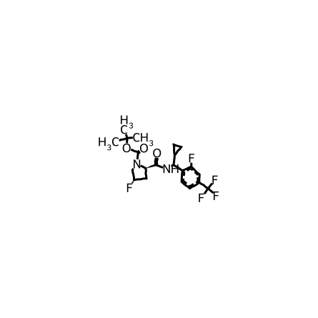 CC(C)(C)OC(=O)N1C[C@@H](F)C[C@@H]1C(=O)N[C@@H](c1ccc(C(F)(F)F)cc1F)C1CC1